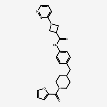 O=C(Nc1ccc(CC2CCN(C(=O)c3ccco3)CC2)cc1)C1CN(c2cccnn2)C1